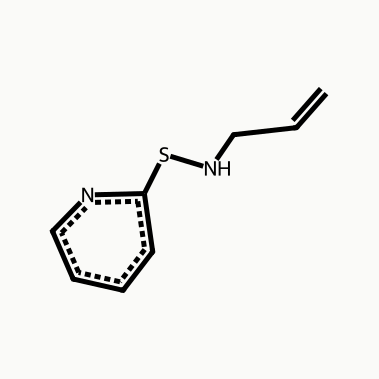 C=CCNSc1ccccn1